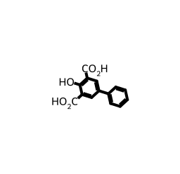 O=C(O)c1cc(-c2ccccc2)cc(C(=O)O)c1O